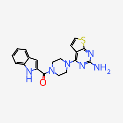 Nc1nc(N2CCN(C(=O)c3cc4ccccc4[nH]3)CC2)c2ccsc2n1